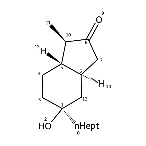 CCCCCCC[C@]1(O)CC[C@H]2[C@@H](CC(=O)[C@@H]2C)C1